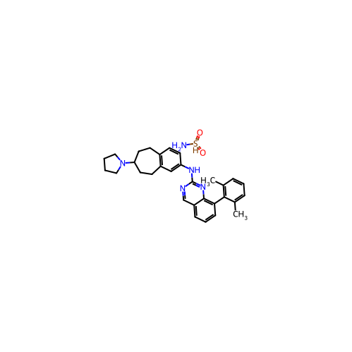 Cc1cccc(C)c1-c1cccc2cnc(Nc3ccc4c(c3)CCC(N3CCCC3)CC4)nc12.N[SH](=O)=O